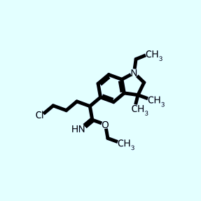 CCOC(=N)C(CCCCl)c1ccc2c(c1)C(C)(C)CN2CC